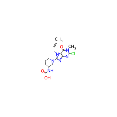 CC#CCn1c(N2CCCC(NC(=O)O)C2)nc2nc(Cl)n(C)c(=O)c21